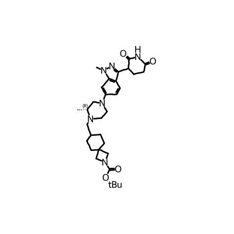 C[C@@H]1CN(c2ccc3c(C4CCC(=O)NC4=O)nn(C)c3c2)CCN1CC1CCC2(CC1)CN(C(=O)OC(C)(C)C)C2